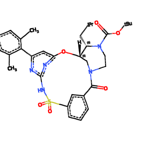 Cc1cccc(C)c1-c1cc2nc(n1)NS(=O)(=O)c1cccc(c1)C(=O)N1CCN(C(=O)OC(C)(C)C)[C@@H](CC(C)C)[C@H](C1)O2